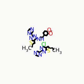 CCc1cc2c(Cl)nc(-c3cnccn3)nc2s1.CCc1cc2c(NCCc3ccc4c(c3)OCO4)nc(-c3cnccn3)nc2s1